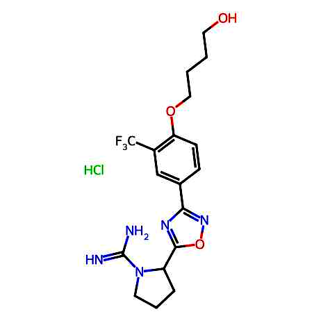 Cl.N=C(N)N1CCCC1c1nc(-c2ccc(OCCCCO)c(C(F)(F)F)c2)no1